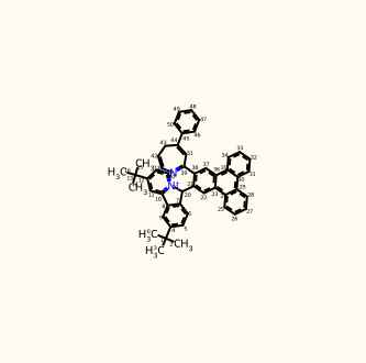 CC(C)(C)c1ccc2c(c1)-c1cc(C(C)(C)C)cc[n+]1C2c1cc2c3ccccc3c3ccccc3c2cc1C1=NC=CCC(c2ccccc2)=C1